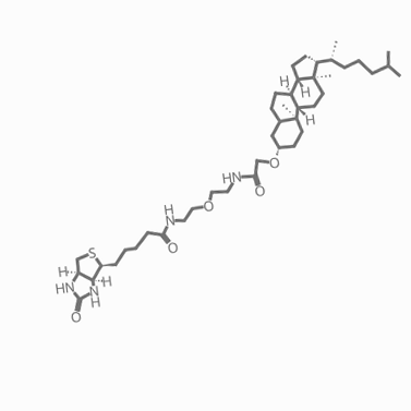 CC(C)CCC[C@@H](C)[C@H]1CC[C@H]2[C@@H]3CCC4C[C@@H](OCC(=O)NCCOCCNC(=O)CCCC[C@@H]5SC[C@@H]6NC(=O)N[C@@H]65)CC[C@]4(C)[C@H]3CC[C@]12C